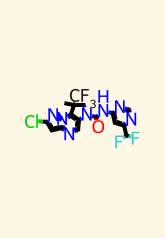 C[C@@]1(C(F)(F)F)CN(C(=O)Nc2cc(C(F)F)ncn2)c2cnc3cc(Cl)nn3c21